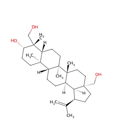 C=C(C)[C@@H]1CC[C@]2(CO)CC[C@]3(C)[C@H](CC[C@@H]4[C@@]5(C)CC[C@H](O)[C@](C)(CO)[C@@H]5CC[C@]43C)[C@H]12